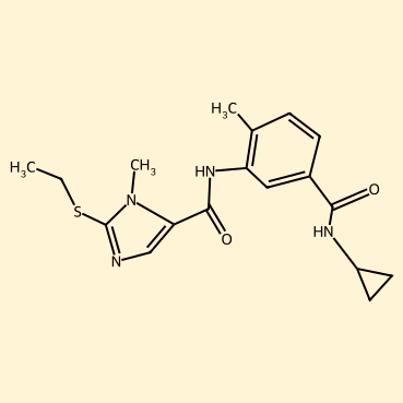 CCSc1ncc(C(=O)Nc2cc(C(=O)NC3CC3)ccc2C)n1C